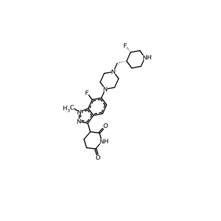 Cn1nc(C2CCC(=O)NC2=O)c2ccc(N3CCN(C[C@H]4CCNC[C@H]4F)CC3)c(F)c21